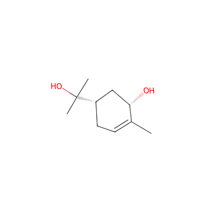 CC1=CC[C@H](C(C)(C)O)C[C@@H]1O